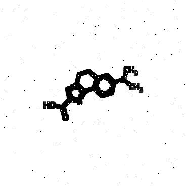 CN(C)c1ccc2c(c1)CCc1cc(C(=O)O)sc1-2